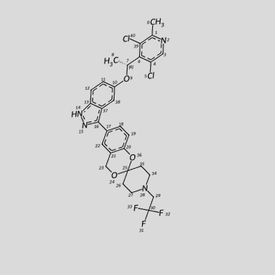 Cc1ncc(Cl)c([C@@H](C)Oc2ccc3[nH]nc(-c4ccc5c(c4)COC4(CCN(CC(F)(F)F)CC4)O5)c3c2)c1Cl